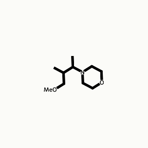 COCC(C)C(C)N1CCOCC1